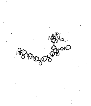 CC(C)n1cnc2cc(-c3ccc4c(c3)N([C@H]3C[C@@H](N5CCCCC5)C3)C(=O)C43CCN(C(=O)C4(C)CCN(C(=O)C5CCN(c6ccc(C7CCC(=O)NC7=O)cn6)CC5)CC4)CC3)nc(N[C@H]3C[C@H](C)C3)c21